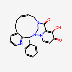 O=C1c2c(O)c(=O)ccn2N2CN1C/C=C\CCc1cccnc1[C@H]2c1ccccc1